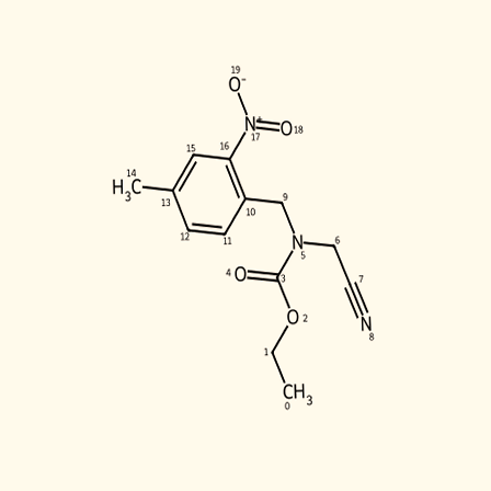 CCOC(=O)N(CC#N)Cc1ccc(C)cc1[N+](=O)[O-]